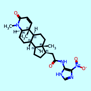 CN1C(=O)C=C[C@]2(C)[C@H]3CC[C@]4(C)[C@@H](CC(=O)Nc5[nH]cnc5[N+](=O)[O-])CC[C@H]4[C@@H]3CC[C@@H]12